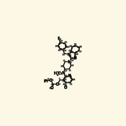 CC(C)OC(=O)OCn1c(N(C)C2CCN(c3nc4ccccc4n3Cc3ccc(F)cc3)CC2)nccc1=O